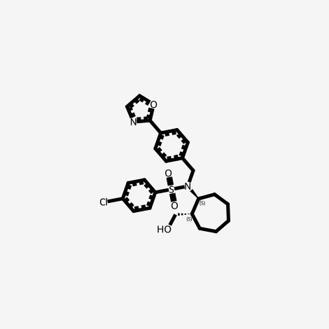 O=S(=O)(c1ccc(Cl)cc1)N(Cc1ccc(-c2ncco2)cc1)[C@H]1CCCCC[C@@H]1CO